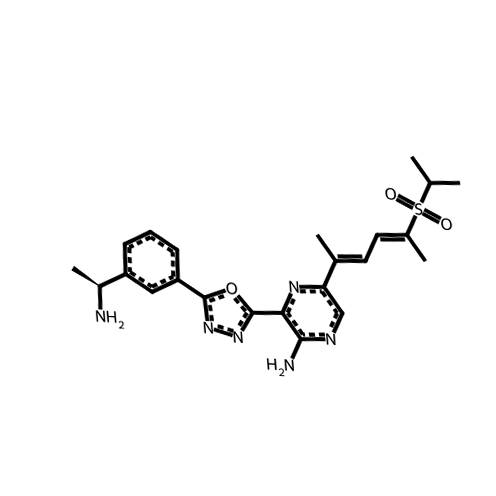 C/C(=C\C=C(/C)S(=O)(=O)C(C)C)c1cnc(N)c(-c2nnc(-c3cccc([C@H](C)N)c3)o2)n1